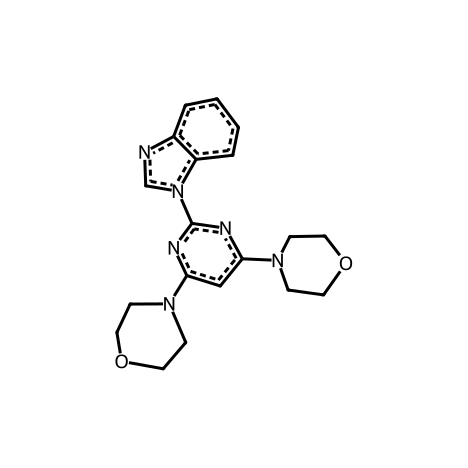 c1ccc2c(c1)ncn2-c1nc(N2CCOCC2)cc(N2CCOCC2)n1